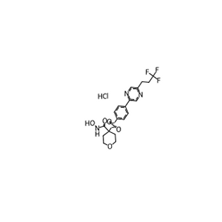 Cl.O=C(NO)C1(S(=O)(=O)c2ccc(-c3cnc(CCC(F)(F)F)cn3)cc2)CCOCC1